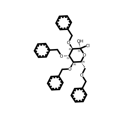 O[C@]1(Cl)O[C@H](COCc2ccccc2)[C@@H](OCc2ccccc2)[C@H](OCc2ccccc2)[C@H]1OCc1ccccc1